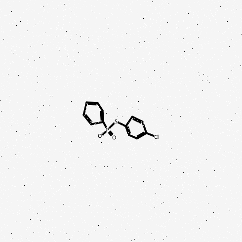 O=P(Cl)(Sc1ccc(Cl)cc1)c1ccccc1